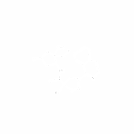 CC(=O)OC1(CF)OC(=O)CC1NC(=O)C1(C(C)C)CC(c2nccc3ccccc23)=NO1